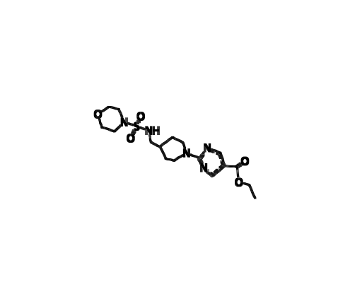 CCOC(=O)c1cnc(N2CCC(CNS(=O)(=O)N3CCOCC3)CC2)nc1